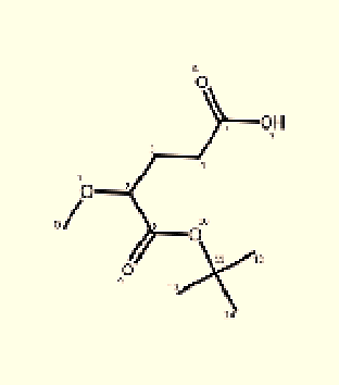 COC(CCC(=O)O)C(=O)OC(C)(C)C